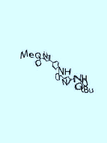 COC(=O)c1cc(-c2ccc(NC(=O)c3cc(NC(=O)OC(C)(C)C)cn3C)cc2)cn1C